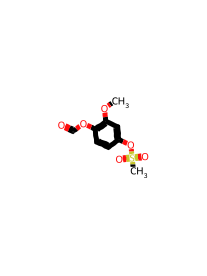 COc1cc(OS(C)(=O)=O)ccc1OC=O